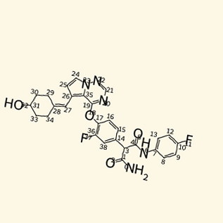 NC(=O)C(C(=O)Nc1ccc(F)cc1)c1ccc(Oc2ncnn3ccc(C=C4CCC(O)CC4)c23)c(F)c1